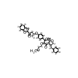 COCCO[C@H](C(=O)N1C(=O)OCC1Cc1ccccc1)[C@@H](O)c1ccc(OCCN(C)c2nc3ccccc3o2)cc1